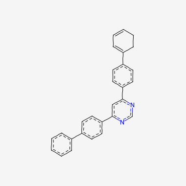 C1=CCCC(c2ccc(-c3cc(-c4ccc(-c5ccccc5)cc4)ncn3)cc2)=C1